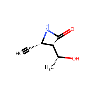 C#C[C@@H]1NC(=O)[C@@H]1[C@@H](C)O